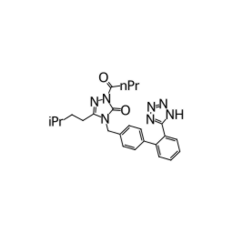 CCCC(=O)n1nc(CCC(C)C)n(Cc2ccc(-c3ccccc3-c3nnn[nH]3)cc2)c1=O